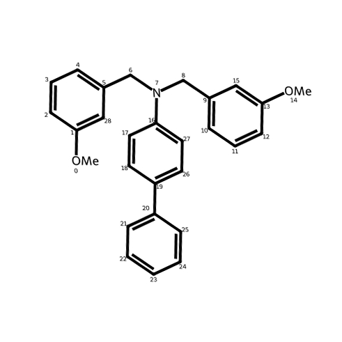 COc1cccc(CN(Cc2cccc(OC)c2)c2ccc(-c3ccccc3)cc2)c1